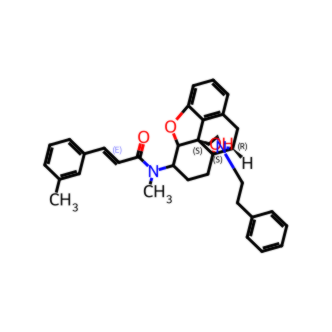 Cc1cccc(/C=C/C(=O)N(C)C2CC[C@@]3(O)[C@H]4Cc5cccc6c5[C@@]3(CCN4CCc3ccccc3)C2O6)c1